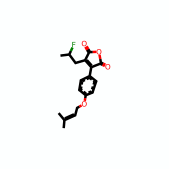 CC(C)=CCOc1ccc(C2=C(CC(C)F)C(=O)OC2=O)cc1